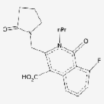 CCCn1c(CN2CCCC2=O)c(C(=O)O)c2cccc(F)c2c1=O